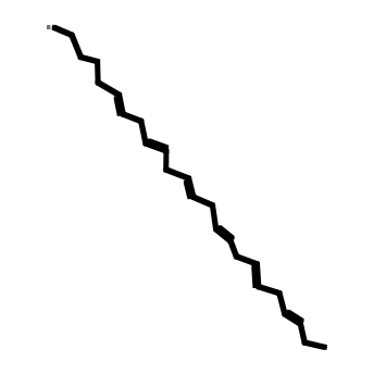 [CH2]CCCCC=CCC=CCC=CCC=CCC=CCC=CCC